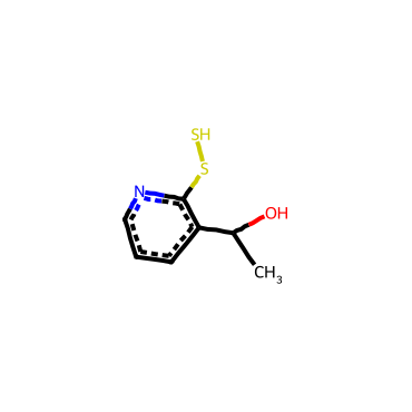 CC(O)c1cccnc1SS